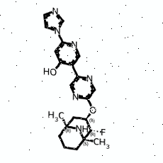 C[C@]12CCC[C@](C)(N1)[C@@H](F)[C@H](Oc1cnc(-c3cnc(-n4ccnc4)cc3O)cn1)C2